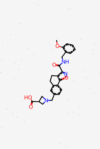 COc1ccccc1CNC(=O)c1noc2c1CCc1cc(CN3CC(C(=O)O)C3)ccc1-2